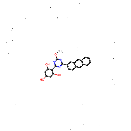 COc1nc(-c2ccc3cc4ccccc4cc3c2)nc(-c2c(O)cc(O)cc2O)n1